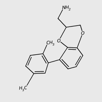 Cc1ccc(C)c(-c2cccc3c2OC(CN)CO3)c1